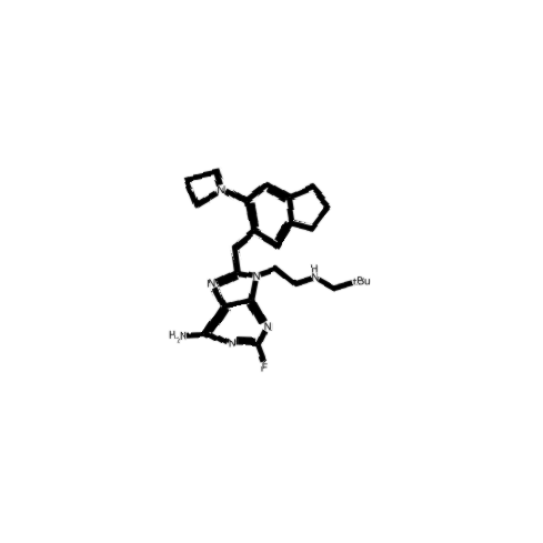 CC(C)(C)CNCCn1c(Cc2cc3c(cc2N2CCC2)CCC3)nc2c(N)nc(F)nc21